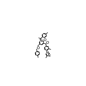 Cc1ccc(COCc2cc(C(=O)c3ccc(-n4cnc(C)c4)c(C)c3)c(=O)n([C@@H](C)c3ccc(C)cc3)c2)cc1